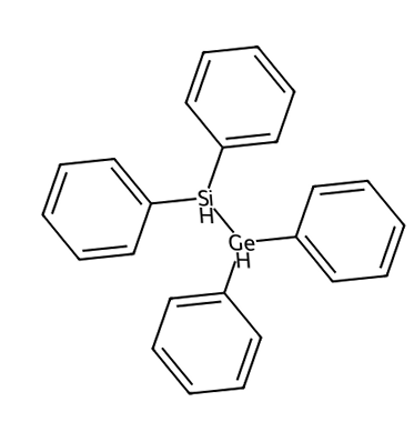 c1ccc([SiH](c2ccccc2)[GeH]([c]2ccccc2)[c]2ccccc2)cc1